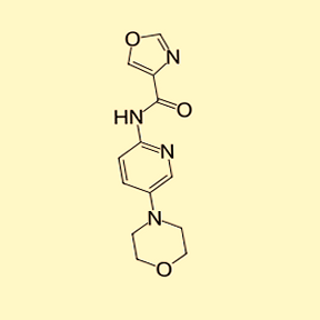 O=C(Nc1ccc(N2CCOCC2)cn1)c1cocn1